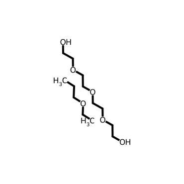 CCCOCC.OCCOCCOCCOCCO